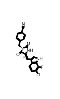 N#Cc1ccc(CN2C(=O)N/C(=C\c3c[nH]c4c(F)c(Cl)ccc34)C2=O)cc1